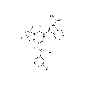 NC(=O)n1cc(NC(=O)N2[C@@H]3C[C@@H]3C[C@H]2C(=O)N[C@H](CO)c2cccc(Cl)c2)c2ccccc21